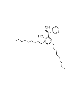 CCCCCCCCCc1cc(CCCCCCCCC)c(O)c(C(=NO)c2ccccc2)c1